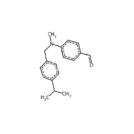 CC(C)c1ccc(CN(C)c2ccc(C=O)cc2)cc1